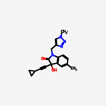 [CH2]n1cc(CN2C(=O)C(O)(C#CC3CC3)c3cc(C)ccc32)nn1